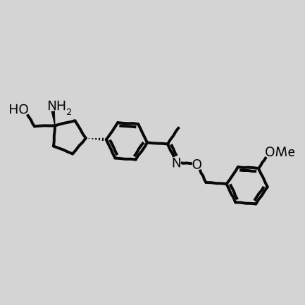 COc1cccc(CO/N=C(\C)c2ccc([C@@H]3CC[C@](N)(CO)C3)cc2)c1